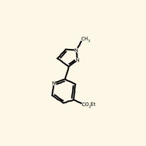 CCOC(=O)c1ccnc(-c2ccn(C)n2)c1